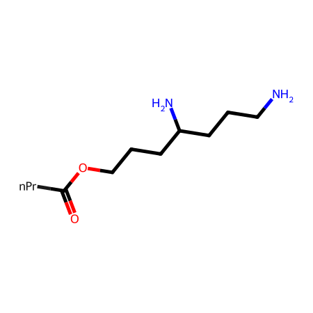 CCCC(=O)OCCCC(N)CCCN